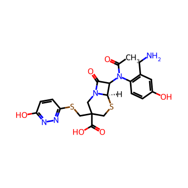 CC(=O)N(c1ccc(O)cc1CN)C1C(=O)N2CC(CSc3ccc(O)nn3)(C(=O)O)CS[C@H]12